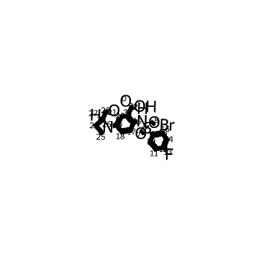 O=C(O)c1c(NS(=O)(=O)c2ccc(F)cc2Br)ccc2c1OC[C@H]1CCN21